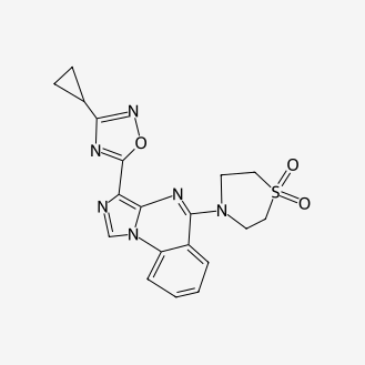 O=S1(=O)CCN(c2nc3c(-c4nc(C5CC5)no4)ncn3c3ccccc23)CC1